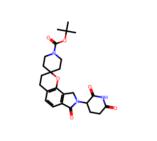 CC(C)(C)OC(=O)N1CCC2(CCc3ccc4c(c3O2)CN(C2CCC(=O)NC2=O)C4=O)CC1